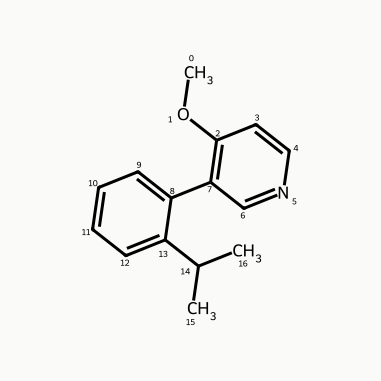 COc1ccncc1-c1ccccc1C(C)C